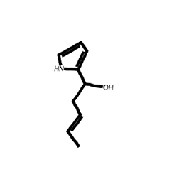 CC=CCC(O)c1ccc[nH]1